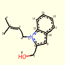 CC(C)=CCn1c(CO)cc2ccccc21